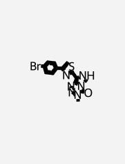 CN1N=NC2=C(c3nc(-c4ccc(Br)cc4)cs3)NCN2C1=O